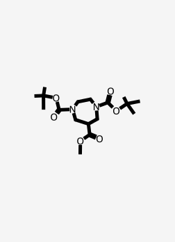 COC(=O)C1CN(C(=O)OC(C)(C)C)CCN(C(=O)OC(C)(C)C)C1